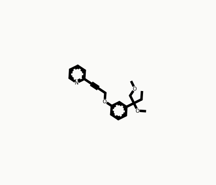 CCC(COC)(OC)c1cccc(OCC#Cc2ccccn2)c1